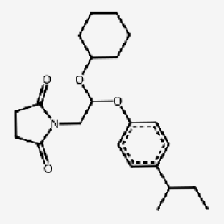 CCC(C)c1ccc(OC(CN2C(=O)CCC2=O)OC2CCCCC2)cc1